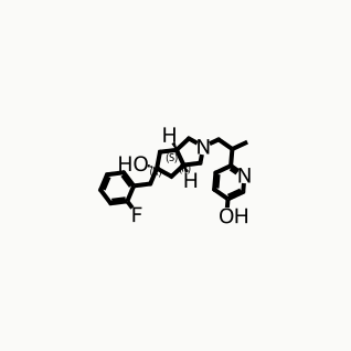 CC(CN1C[C@@H]2C[C@@](O)(Cc3ccccc3F)C[C@@H]2C1)c1ccc(O)cn1